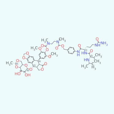 COc1cc([C@@H]2c3cc4c(cc3[C@@H](O[C@@H]3OC5CO[C@@H](C)OC5[C@H](O)[C@H]3O)C3COC(=O)C32)OCO4)cc(OC)c1OC(=O)N(C)CCN(C)C(=O)OCc1ccc(NC(=O)[C@H](CCCNC(N)=O)NC(=O)[C@@H](NC(C)C)C(C)C)cc1